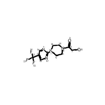 [O]CC(=O)N1CCN(c2ncc(C(F)(F)F)cn2)CC1